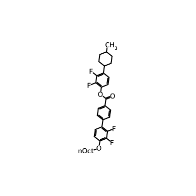 CCCCCCCCOc1ccc(-c2ccc(C(=O)Oc3ccc(C4CCC(C)CC4)c(F)c3F)cc2)c(F)c1F